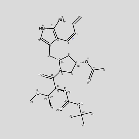 C=C/C=C\c1c(C[C@@H]2C[C@H](OC(C)=O)CN2C(=O)[C@@H](NC(=O)OC(C)(C)C)[C@@H](C)OC)c[nH]c1N